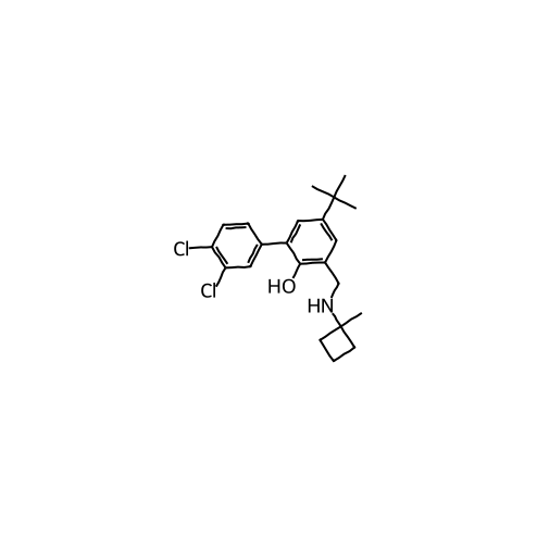 CC1(NCc2cc(C(C)(C)C)cc(-c3ccc(Cl)c(Cl)c3)c2O)CCC1